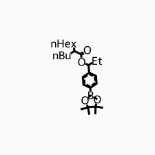 CCCCCCC(CCCC)C(=O)OC(CC)c1ccc(B2OC(C)(C)C(C)(C)O2)cc1